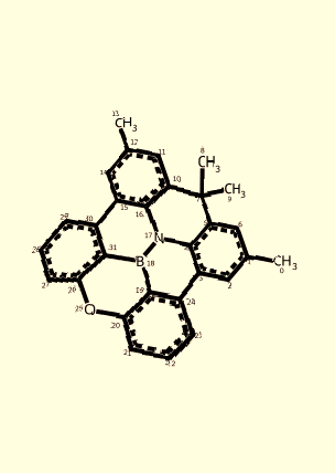 Cc1cc2c3c(c1)C(C)(C)c1cc(C)cc4c1N3B1c3c(cccc3-2)Oc2cccc-4c21